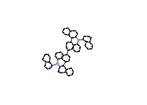 c1ccc(N(c2ccc3ccccc3c2-c2ccc(-c3ccc(-c4c(N(c5ccccc5)c5cccc6ccccc56)ccc5ccccc45)cc3)cc2)c2cccc3ccccc23)cc1